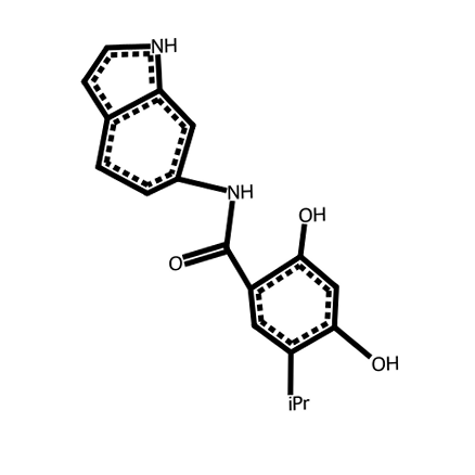 CC(C)c1cc(C(=O)Nc2ccc3cc[nH]c3c2)c(O)cc1O